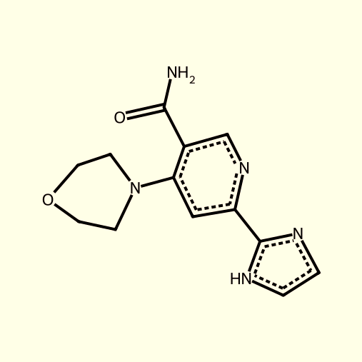 NC(=O)c1cnc(-c2ncc[nH]2)cc1N1CCOCC1